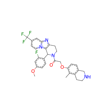 COc1ccc(C2c3c(nc4cc(C(F)(F)F)ccn34)CCN2C(=O)COc2ccc3c(c2C)CCNC3)c(F)c1